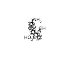 Cl.NCc1ccc(S(=O)(=O)c2cccc(C(=O)N3CCCC3C(=O)O)c2)s1